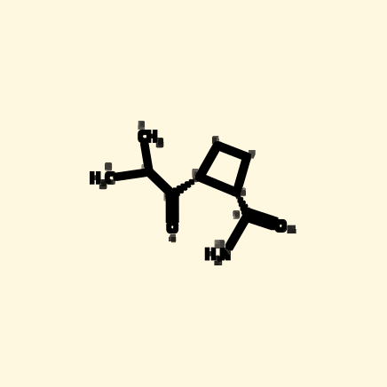 CC(C)C(=O)[C@@H]1CC[C@@H]1C(N)=O